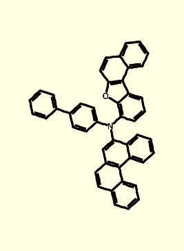 c1ccc(-c2ccc(N(c3cc4ccc5ccccc5c4c4ccccc34)c3cccc4c3oc3ccc5ccccc5c34)cc2)cc1